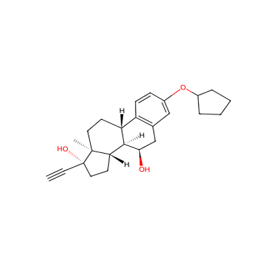 C#C[C@]1(O)CC[C@H]2[C@@H]3[C@H](O)Cc4cc(OC5CCCC5)ccc4[C@H]3CC[C@@]21C